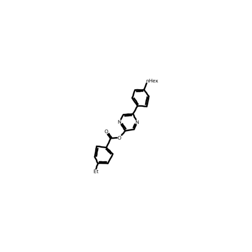 CCCCCCc1ccc(-c2cnc(OC(=O)c3ccc(CC)cc3)cn2)cc1